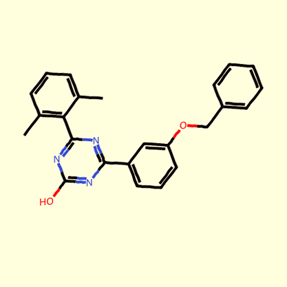 Cc1cccc(C)c1-c1nc(O)nc(-c2cccc(OCc3ccccc3)c2)n1